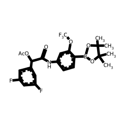 CC(=O)OC(C(=O)Nc1ccc(B2OC(C)(C)C(C)(C)O2)c(OC(F)(F)F)c1)c1cc(F)cc(F)c1